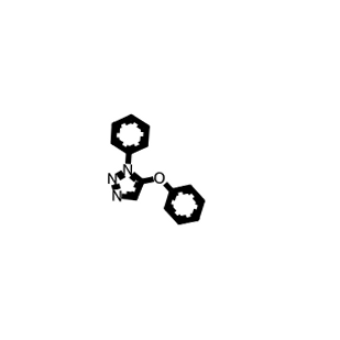 c1ccc(Oc2cnnn2-c2ccccc2)cc1